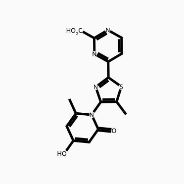 Cc1sc(-c2ccnc(C(=O)O)n2)nc1-n1c(C)cc(O)cc1=O